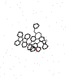 c1ccc(CC2CCc3cc4oc5ccccc5c4c(-c4cc5ccccc5c5ccccc45)c3-c3cc(N(c4ccccc4)c4cccc5c4-c4ccccc4C54c5ccccc5-c5ccccc54)ccc32)cc1